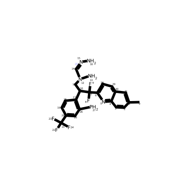 Cc1ccc2nc(C(F)(F)C(CN(N)/C=N\N)c3ccc(C(F)(F)F)cc3P)ccc2c1